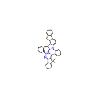 C[Si]1(C)c2ccccc2-c2nc(-c3ccccc3)nc(-c3ccccc3-n3c4ccccc4c4c5sc6ccccc6c5ccc43)c21